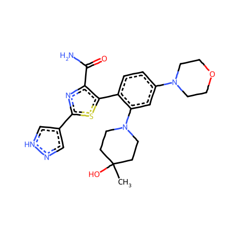 CC1(O)CCN(c2cc(N3CCOCC3)ccc2-c2sc(-c3cn[nH]c3)nc2C(N)=O)CC1